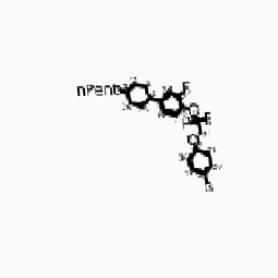 CCCCCC1CCC(c2ccc(OC(F)(F)COC3CCC(C)CC3)c(F)c2)CC1